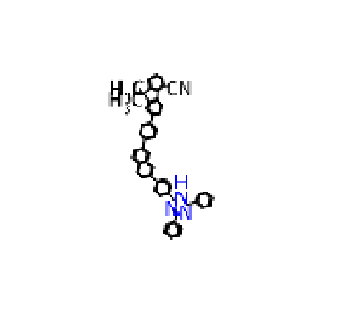 CC1(C)c2cc(-c3ccc(-c4ccc5ccc(-c6ccc(C7N=C(c8ccccc8)N=C(c8ccccc8)N7)cc6)cc5c4)cc3)ccc2-c2c(C#N)cccc21